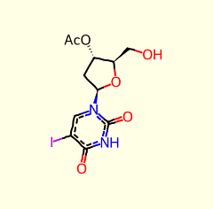 CC(=O)O[C@H]1C[C@H](n2cc(I)c(=O)[nH]c2=O)O[C@@H]1CO